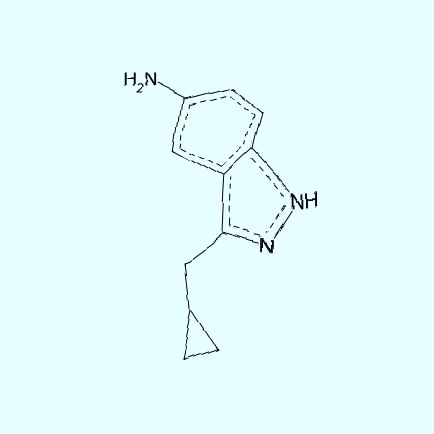 Nc1ccc2[nH]nc(CC3CC3)c2c1